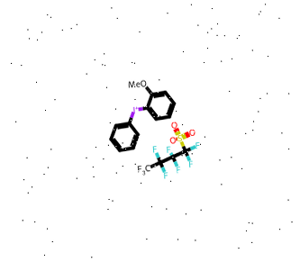 COc1ccccc1[I+]c1ccccc1.O=S(=O)([O-])C(F)(F)C(F)(F)C(F)(F)C(F)(F)F